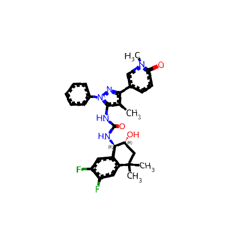 Cc1c(-c2ccc(=O)n(C)c2)nn(-c2ccccc2)c1NC(=O)N[C@@H]1c2cc(F)c(F)cc2C(C)(C)C[C@H]1O